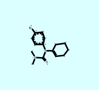 CN(C)C(=O)N(C1=CCCCC1)c1ccc(Br)cc1